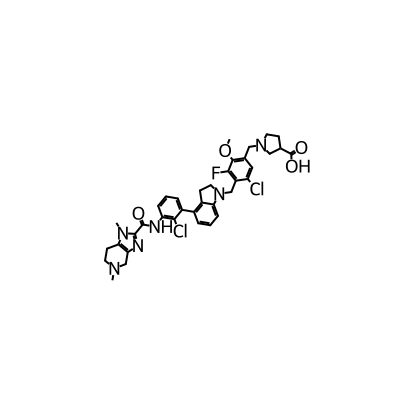 COc1c(CN2CCC(C(=O)O)C2)cc(Cl)c(CN2CCc3c(-c4cccc(NC(=O)c5nc6c(n5C)CCN(C)C6)c4Cl)cccc32)c1F